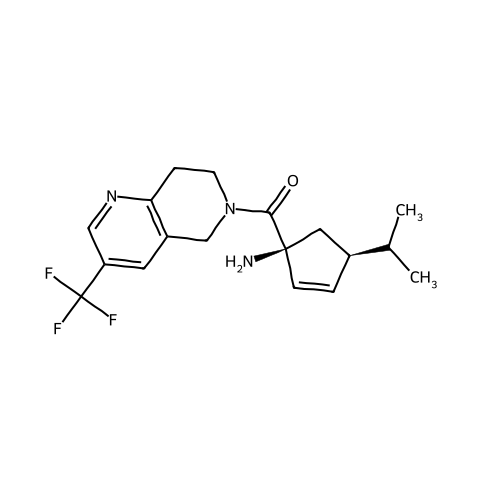 CC(C)[C@H]1C=C[C@](N)(C(=O)N2CCc3ncc(C(F)(F)F)cc3C2)C1